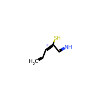 C=C/C=C(/S)C=N